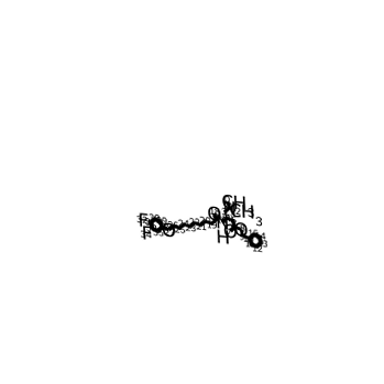 CN(C)C[C@@H](CC(=O)OCc1ccccc1)NC(=O)CCCCCCCCOc1ccc(F)c(F)c1